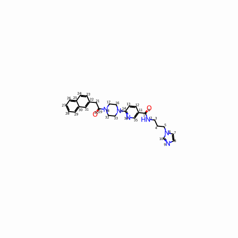 O=C(NCCCn1ccnc1)c1ccc(N2CCN(C(=O)Cc3ccc4ccccc4c3)CC2)nc1